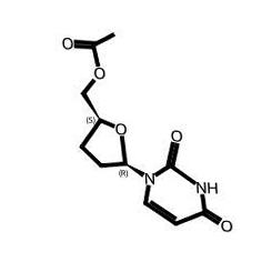 CC(=O)OC[C@@H]1CC[C@H](n2ccc(=O)[nH]c2=O)O1